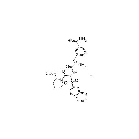 I.N=C(N)c1cccc(C[C@H](N)C(=O)NC(C(=O)N2CCCCC2C(=O)O)S(=O)(=O)c2ccc3ccccc3c2)c1